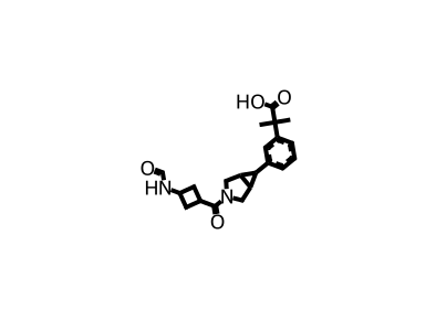 CC(C)(C(=O)O)c1cccc(C2C3CN(C(=O)C4CC(NC=O)C4)CC32)c1